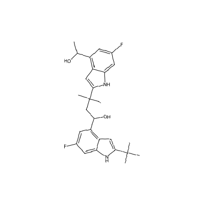 CC(O)c1cc(F)cc2[nH]c(C(C)(C)CC(O)c3cc(F)cc4[nH]c(C(C)(C)C)cc34)cc12